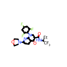 CC[C@H](NC(=O)c1cn(-c2c(F)cc(F)cc2F)c2nc(N3CCOCC3)ccc2c1=O)C(F)(F)F